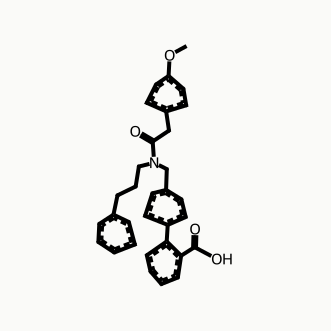 COc1ccc(CC(=O)N(CCCc2ccccc2)Cc2ccc(-c3ccccc3C(=O)O)cc2)cc1